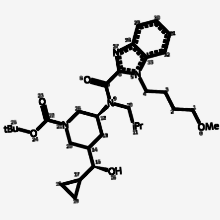 COCCCCn1c(C(=O)N(CC(C)C)[C@H]2CC([C@@H](O)C3CC3)CN(C(=O)OC(C)(C)C)C2)nc2ccccc21